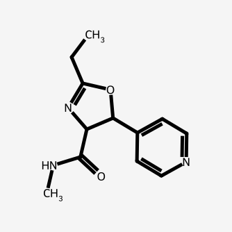 CCC1=NC(C(=O)NC)C(c2ccncc2)O1